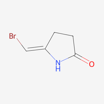 O=C1CCC(=CBr)N1